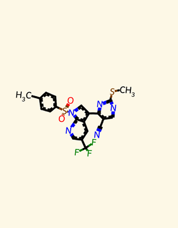 CSc1ncc(C#N)c(-c2cn(S(=O)(=O)c3ccc(C)cc3)c3ncc(C(F)(F)F)cc23)n1